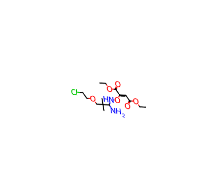 CCOC(=O)C=C(ONC(N)C(C)(C)COCCCl)C(=O)OCC